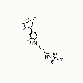 Cc1cc(N2C[C@H](C)O[C@H](C)C2C)ccc1NCCCCCNS(=O)(=O)C(C)C